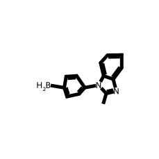 Bc1ccc(-n2c(C)nc3ccccc32)cc1